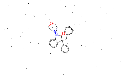 O=C1N(N2CCOCC2)c2ccccc2C1(Cc1ccccc1)c1ccccc1